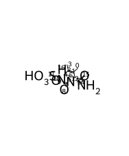 CC1=C(C)[C@@H]2CN(C(=O)N2OS(=O)(=O)O)[C@@H]1C(N)=O